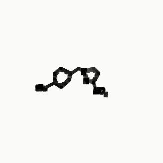 CC(C)(C)c1ccc(Cn2ccc([N+](=O)[O-])n2)cc1